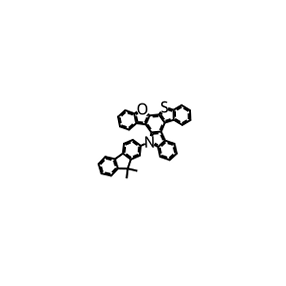 CC1(C)c2ccccc2-c2ccc(-n3c4ccccc4c4c5c6ccccc6sc5c5oc6ccccc6c5c43)cc21